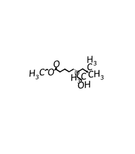 CCOC(=O)CCCC[C@@H](CCO)CC(C)(C)C